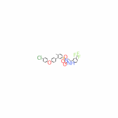 Cc1ccc(S(=O)(=O)N2CC(c3cccc(C(F)(F)F)c3)NC2=O)cc1-c1ccc(Oc2ccc(Cl)cc2)cc1